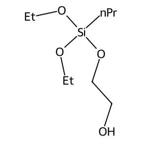 CCC[Si](OCC)(OCC)OCCO